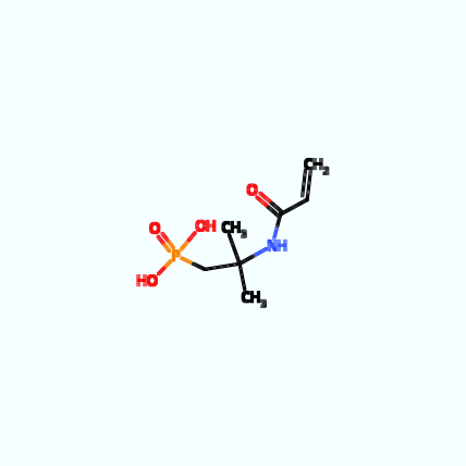 C=CC(=O)NC(C)(C)CP(=O)(O)O